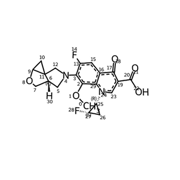 COc1c(N2C[C@@H]3COC4CC43C2)c(F)cc2c(=O)c(C(=O)O)cn([C@@H]3C[C@@H]3F)c12